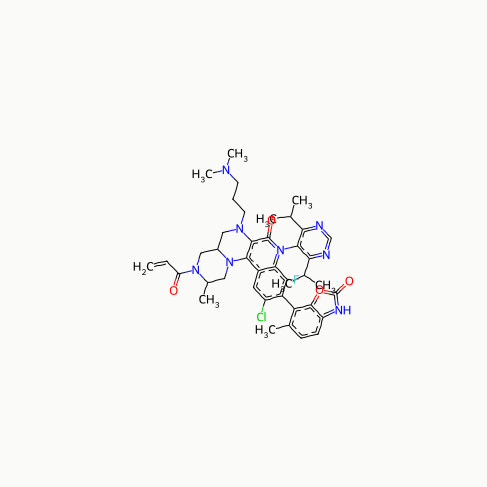 C=CC(=O)N1CC2CN(CCCN(C)C)c3c(c4cc(Cl)c(-c5c(C)ccc6[nH]c(=O)oc56)c(F)c4n(-c4c(C(C)C)ncnc4C(C)C)c3=O)N2CC1C